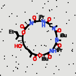 CC/C=C(\C)[C@H]1OC(=O)[C@H](C)N(C)C(=O)C(C(C)C)NC(=O)CN(C)C(=O)C([C@H](C)CC)N(C)C(=O)[C@H](C(C)C)NC(=O)[C@@H]([C@@H](C)CC)OC(=O)/C(C)=C/C[C@H](O)[C@@H]1C